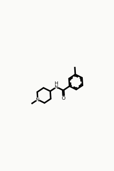 Cc1cccc(C(=O)NC2CCN(C)CC2)c1